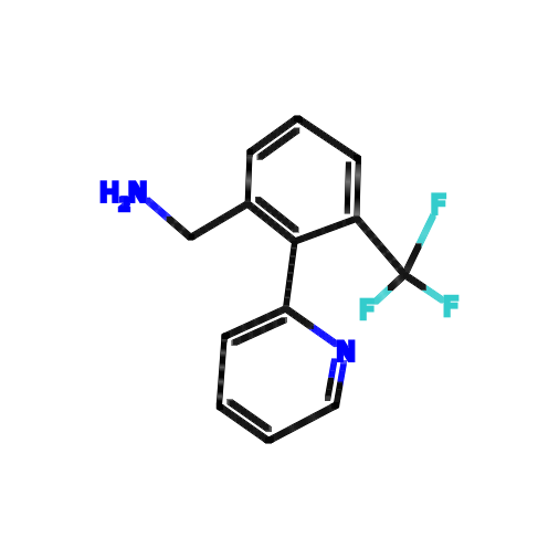 NCc1cccc(C(F)(F)F)c1-c1ccccn1